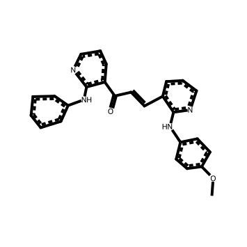 COc1ccc(Nc2ncccc2C=CC(=O)c2cccnc2Nc2ccccc2)cc1